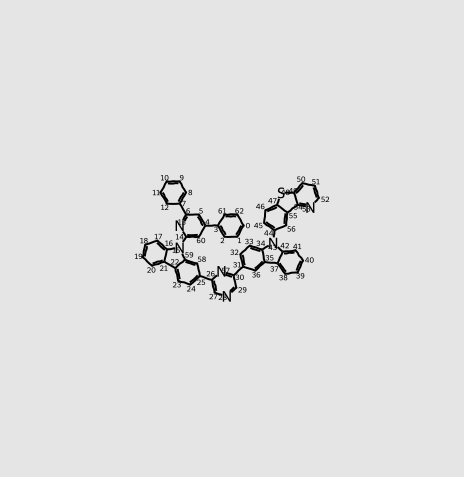 c1ccc(-c2cc(-c3ccccc3)nc(-n3c4ccccc4c4ccc(-c5cncc(-c6ccc7c(c6)c6ccccc6n7-c6ccc7sc8cccnc8c7c6)n5)cc43)c2)cc1